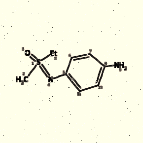 CCS(C)(=O)=Nc1ccc(N)cc1